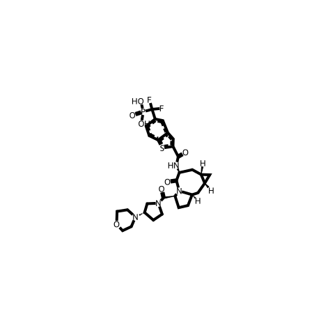 O=C(N[C@H]1C[C@@H]2C[C@@H]2C[C@H]2CC[C@@H](C(=O)N3CC[C@H](N4CCOCC4)C3)N2C1=O)c1cc2cc(C(F)(F)P(=O)(O)O)ccc2s1